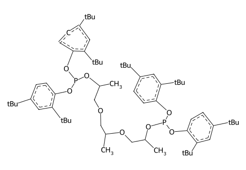 CC(COCC(C)OP(Oc1ccc(C(C)(C)C)cc1C(C)(C)C)Oc1ccc(C(C)(C)C)cc1C(C)(C)C)OCC(C)OP(Oc1ccc(C(C)(C)C)cc1C(C)(C)C)Oc1ccc(C(C)(C)C)cc1C(C)(C)C